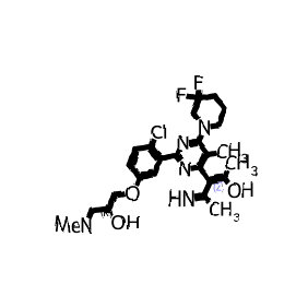 CNC[C@@H](O)COc1ccc(Cl)c(-c2nc(/C(C(C)=N)=C(\C)O)c(C)c(N3CCCC(F)(F)C3)n2)c1